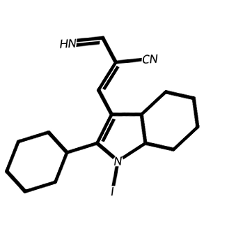 N#C/C(C=N)=C\C1=C(C2CCCCC2)N(I)C2CCCCC12